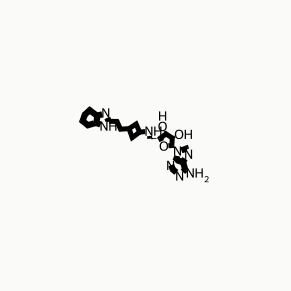 Nc1ncnc2c1ncn2[C@@H]1O[C@H](CNC2CC(CCc3nc4ccccc4[nH]3)C2)[C@@H](O)[C@H]1O